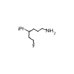 CC(C)C(CCF)CCCN